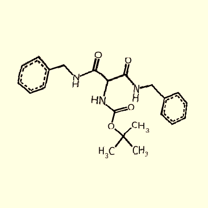 CC(C)(C)OC(=O)NC(C(=O)NCc1ccccc1)C(=O)NCc1ccccc1